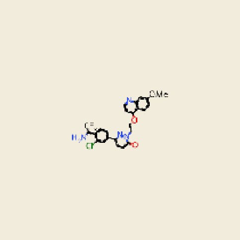 COc1ccc2c(OCCn3nc(-c4ccc([C@@H](N)C(F)(F)F)c(Cl)c4)ccc3=O)ccnc2c1